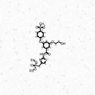 CCOP(=O)(Cc1csc(NC(=O)c2cc(OCCO)cc(Oc3ccc(S(C)(=O)=O)cc3)c2)n1)OCC